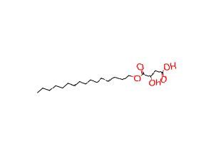 CCCCCCCCCCCCCCCCOC(=O)C(O)CC(=O)O